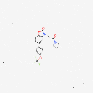 O=C(CCn1c(=O)oc2ccc(-c3ccc(OC(F)(F)F)cc3)cc21)N1CCCC1